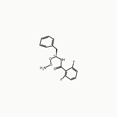 NOO[C@@H](Cc1ccccc1)NC(=O)c1c(F)cccc1F